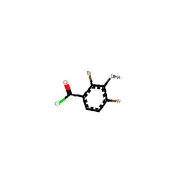 COc1c(Br)ccc(C(=O)Cl)c1Br